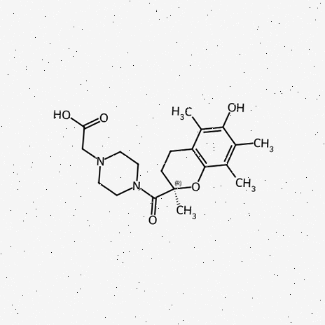 Cc1c(C)c2c(c(C)c1O)CC[C@](C)(C(=O)N1CCN(CC(=O)O)CC1)O2